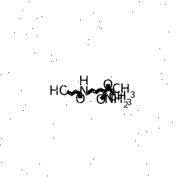 C#CCCC(=O)NCCCCC(C(N)=O)C(=O)C(C)C